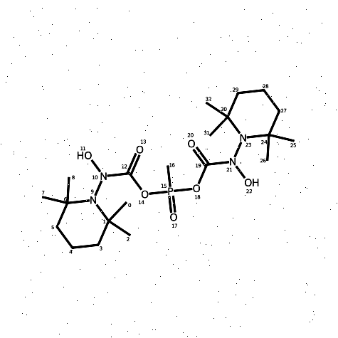 CC1(C)CCCC(C)(C)N1N(O)C(=O)OP(C)(=O)OC(=O)N(O)N1C(C)(C)CCCC1(C)C